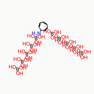 NC1C=CC=CC=C1.OB(O)O.OB(O)O.OB(O)O.OB(O)O.OB(O)O.OB(O)O.OB(O)O.OB(O)O.OB(O)O.OB(O)O